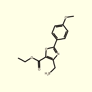 BCc1nc(-c2ccc(OC)cc2)oc1C(=O)OCC